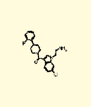 NCCn1cc(C(=O)N2CCC(c3ccccc3F)CC2)c2ccc(Cl)cc21